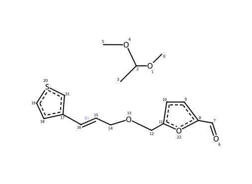 COC(C)OC.O=Cc1ccc(COC/C=C/c2ccsc2)o1